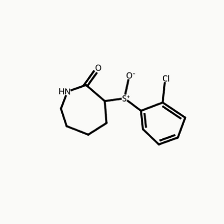 O=C1NCCCCC1[S+]([O-])c1ccccc1Cl